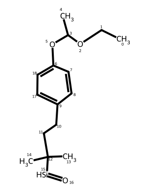 CCOC(C)Oc1ccc(CCC(C)(C)[SiH]=O)cc1